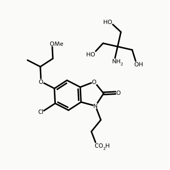 COCC(C)Oc1cc2oc(=O)n(CCC(=O)O)c2cc1Cl.NC(CO)(CO)CO